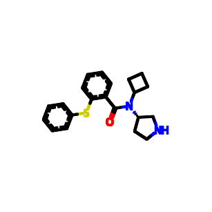 O=C(c1ccccc1Sc1ccccc1)N(C1CCC1)[C@H]1CCNC1